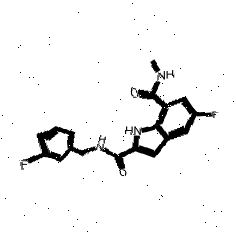 CNC(=O)c1cc(F)cc2cc(C(=O)NCc3cccc(F)c3)[nH]c12